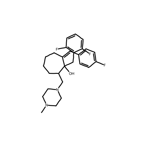 CN1CCN(CC2CCCCC(=Cc3ccc(F)cc3)C2(O)Cc2c(F)cccc2F)CC1